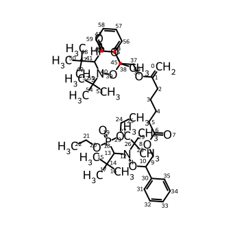 C=C(CCCCC(=O)OCC(ON(C(C(C)(C)C)P(=O)(OCC)OCC)C(C)(C)C)c1ccccc1)OCC(ON(C([PH](=O)OCC)C(C)(C)C)C(C)(C)C)c1ccccc1